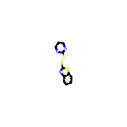 c1cnc(SSc2nc3ccccc3s2)nc1